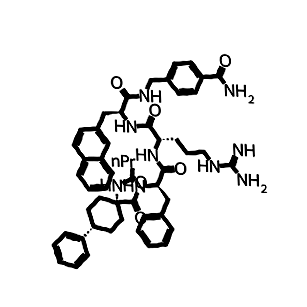 CCCC(=O)N[C@]1(C(=O)N[C@H](Cc2ccccc2)C(=O)N[C@@H](CCCNC(=N)N)C(=O)N[C@@H](Cc2ccc3ccccc3c2)C(=O)NCc2ccc(C(N)=O)cc2)CC[C@H](c2ccccc2)CC1